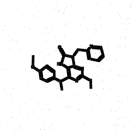 COc1ccc(N(C)c2nc(SC)nc3c2[nH]c(=O)n3Cc2ccccn2)cc1